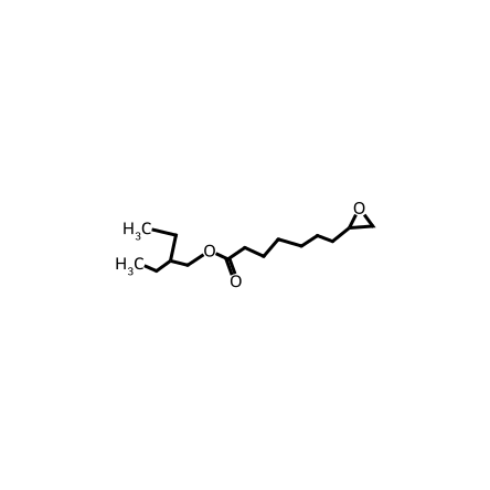 CCC(CC)COC(=O)CCCCCCC1CO1